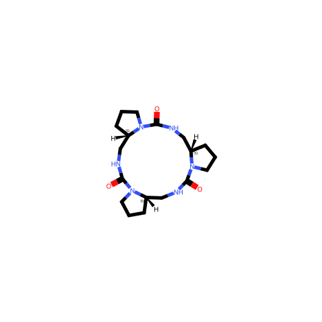 O=C1NC[C@@H]2CCCN2C(=O)NC[C@@H]2CCCN2C(=O)NC[C@@H]2CCCN12